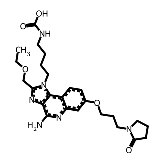 CCOCc1nc2c(N)nc3cc(OCCCN4CCCC4=O)ccc3c2n1CCCCNC(=O)O